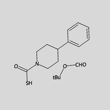 CC(C)(C)OC=O.O=C(S)N1CCC(c2ccccc2)CC1